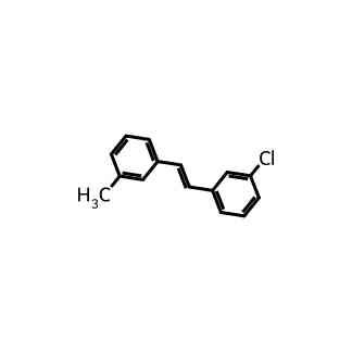 Cc1cccc(C=Cc2cccc(Cl)c2)c1